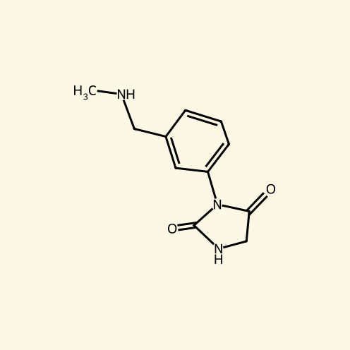 CNCc1cccc(N2C(=O)CNC2=O)c1